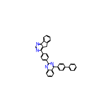 c1ccc(-c2ccc(-c3nc(-c4ccc(-c5ncnc6c5Cc5ccccc5-6)cc4)nc4ccccc34)cc2)cc1